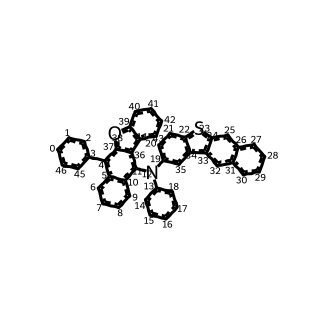 c1ccc(-c2c3ccccc3c(N(c3ccccc3)c3ccc4sc5cc6ccccc6cc5c4c3)c3c2oc2ccccc23)cc1